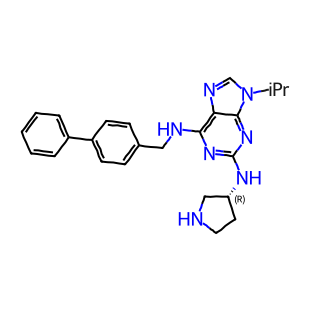 CC(C)n1cnc2c(NCc3ccc(-c4ccccc4)cc3)nc(N[C@@H]3CCNC3)nc21